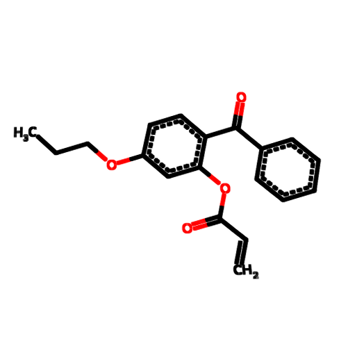 C=CC(=O)Oc1cc(OCCC)ccc1C(=O)c1ccccc1